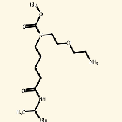 CC(NC(=O)CCCCN(CCOCCN)C(=O)OC(C)(C)C)C(C)(C)C